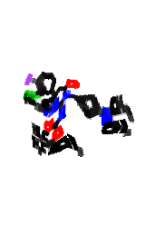 CN(C)C1CC(N2C(=O)C[C@@](C)(c3cccc(I)c3Cl)N/C2=N\C(=O)OC(C)(C)C)C1